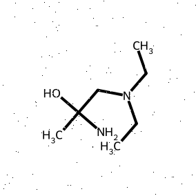 CCN(CC)CC(C)(N)O